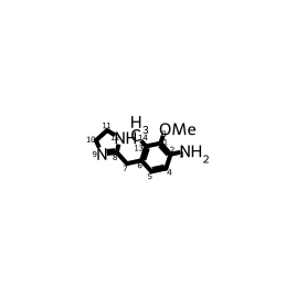 COc1c(N)ccc(CC2=NCCN2)c1C